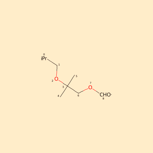 CC(C)COC(C)(C)CO[C]=O